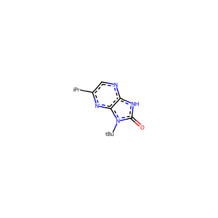 CC(C)c1cnc2[nH]c(=O)n(C(C)(C)C)c2n1